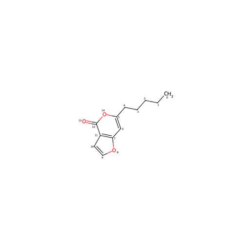 CCCCCc1cc2occc2c(=O)o1